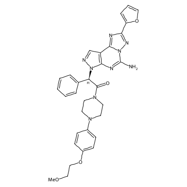 COCCOc1ccc(N2CCN(C(=O)[C@@H](c3ccccc3)n3ncc4c3nc(N)n3nc(-c5ccco5)nc43)CC2)cc1